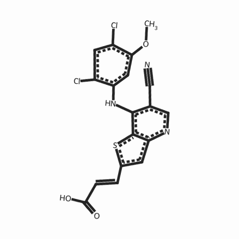 COc1cc(Nc2c(C#N)cnc3cc(C=CC(=O)O)sc23)c(Cl)cc1Cl